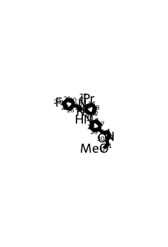 COCc1ncc(-c2ccc(Nc3cccc4c3nc(-c3ccc(F)cc3)n4C(C)C)cc2)o1